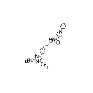 CC(C)(C)c1nc(N2CCN(CCCCNC(=O)N3CCN(c4ccccc4)CC3)CC2)cc(C(F)(F)F)n1